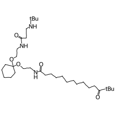 CC(C)(C)NCCC(=O)NCCOC1(OCCNC(=O)CCCCCCCCCCC(=O)C(C)(C)C)CCCCC1